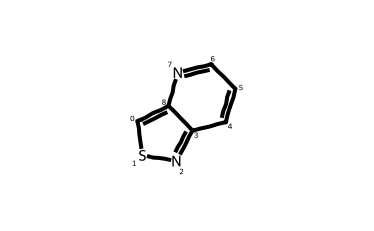 [c]1snc2cccnc12